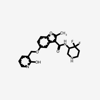 Cc1oc2ccc(OCc3cccnc3O)cc2c1C(=O)NC1CNCCC1(F)F